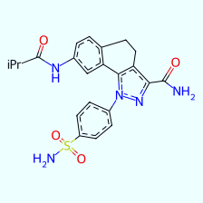 CC(C)C(=O)Nc1ccc2c(c1)-c1c(c(C(N)=O)nn1-c1ccc(S(N)(=O)=O)cc1)CC2